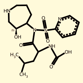 CC(C)CC(NC(=O)O)C(=O)N(C1CCCNC[C@@H]1O)S(=O)(=O)c1ccccn1